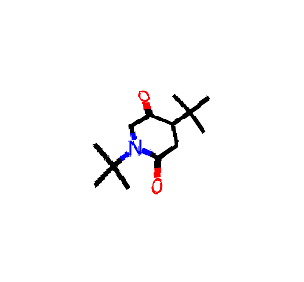 CC(C)(C)C1CC(=O)N(C(C)(C)C)CC1=O